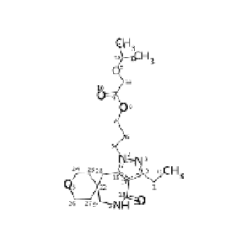 CCc1nn(CCCOC(=O)COC(C)C)c2c1C(=O)NCC1(CCOCC1)C2